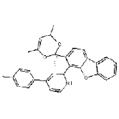 CC1=CC(C)O[C@@](C)(c2ccc3c(oc4ccccc43)c2C2C=C(c3ccc(C)cc3)C=CN2)O1